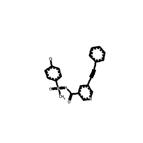 CS(=O)(=NC(=O)c1cncc(C#Cc2ccccc2)c1)c1ccc(Cl)cc1